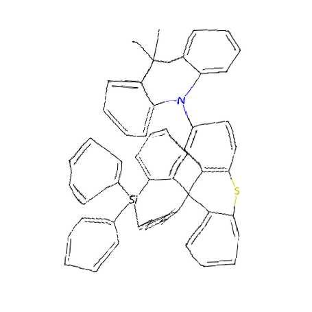 CC1(C)c2ccccc2N(c2ccc3c(c2)C2(c4ccccc4S3)c3ccccc3[Si](c3ccccc3)(c3ccccc3)c3ccccc32)c2ccccc21